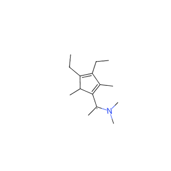 CCC1=C(CC)C(C)C([C](C)N(C)C)=C1C